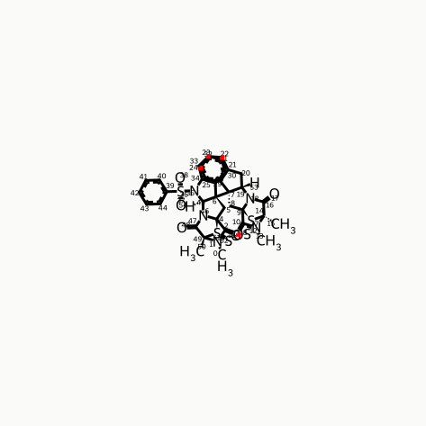 CN1C(=O)C23C[C@]4([C@]56CC78C(=O)N(C)[C@](C)(C(=O)N7[C@H]5Cc5ccccc56)[S@]8=S)c5ccccc5N(S(=O)(=O)c5ccccc5)[C@@H]4N2C(=O)[C@]1(C)[S@@]3=S